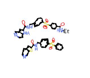 CCNC(=O)c1ccc(S(=O)(=O)c2ccc(CNC(=O)c3cc4cnccc4[nH]3)cc2)cc1.O=C(NCc1ccc(S(=O)(=O)c2ccccc2)cc1)c1cc2ccncc2s1